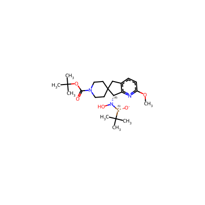 COc1ccc2c(n1)[C@H](N(O)[S@+]([O-])C(C)(C)C)C1(CCN(C(=O)OC(C)(C)C)CC1)C2